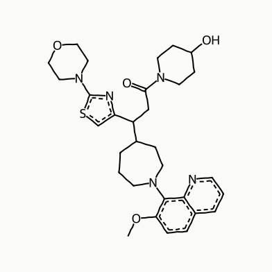 COc1ccc2cccnc2c1N1CCCC(C(CC(=O)N2CCC(O)CC2)c2csc(N3CCOCC3)n2)CC1